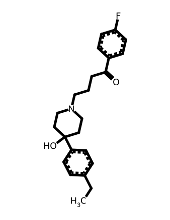 CCc1ccc(C2(O)CCN(CCCC(=O)c3ccc(F)cc3)CC2)cc1